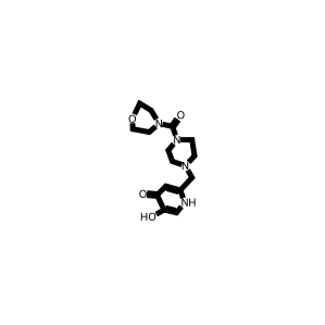 O=C(N1CCOCC1)N1CCN(Cc2cc(=O)c(O)c[nH]2)CC1